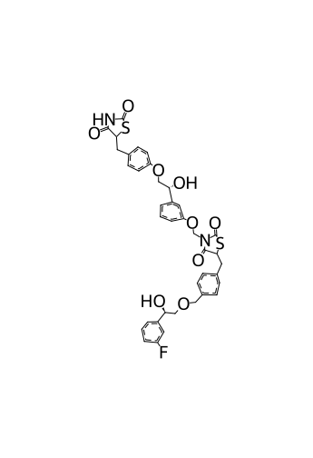 O=C1NC(=O)C(Cc2ccc(OC[C@H](O)c3cccc(OCN4C(=O)SC(Cc5ccc(COC[C@H](O)c6cccc(F)c6)cc5)C4=O)c3)cc2)S1